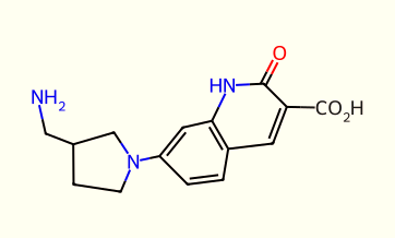 NCC1CCN(c2ccc3cc(C(=O)O)c(=O)[nH]c3c2)C1